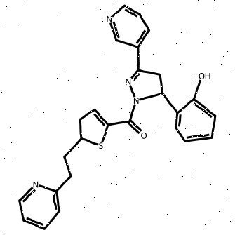 O=C(C1=CCC(CCc2ccccn2)S1)N1N=C(c2cccnc2)CC1c1ccccc1O